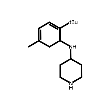 CC1=CC=C(C(C)(C)C)C(NC2CCNCC2)C1